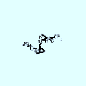 C[Si](C)(C)CCOCn1ncc2cccc(CCOc3cc(N4C=C(C(F)(F)F)ON4)ccn3)c21